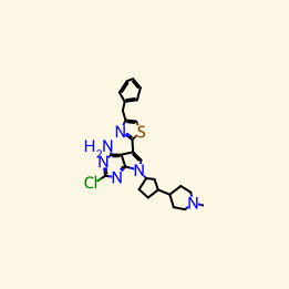 CN1CCC(C2CCC(n3cc(-c4nc(Cc5ccccc5)cs4)c4c(N)nc(Cl)nc43)C2)CC1